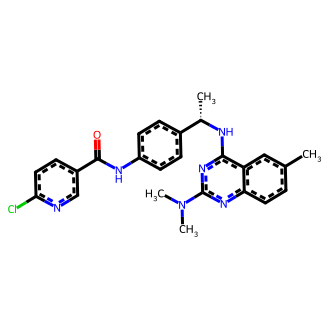 Cc1ccc2nc(N(C)C)nc(N[C@@H](C)c3ccc(NC(=O)c4ccc(Cl)nc4)cc3)c2c1